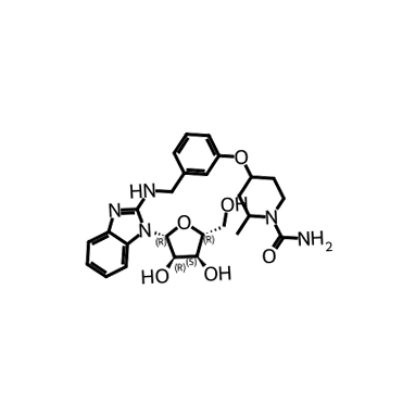 CC1CC(Oc2cccc(CNc3nc4ccccc4n3[C@@H]3O[C@H](CO)[C@@H](O)[C@H]3O)c2)CCN1C(N)=O